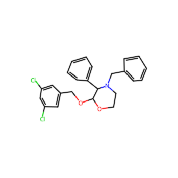 Clc1cc(Cl)cc(COC2OCCN(Cc3ccccc3)C2c2ccccc2)c1